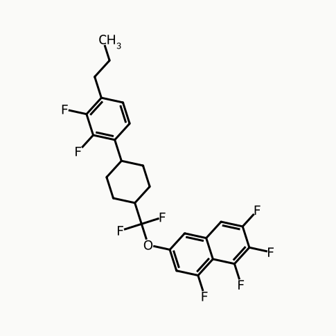 CCCc1ccc(C2CCC(C(F)(F)Oc3cc(F)c4c(F)c(F)c(F)cc4c3)CC2)c(F)c1F